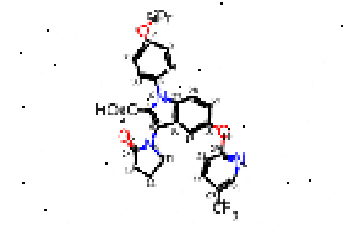 CC(C)Oc1ccc(-n2c(C(=O)O)c(N3CCCC3=O)c3cc(Oc4ccc(C(F)(F)F)cn4)ccc32)cc1